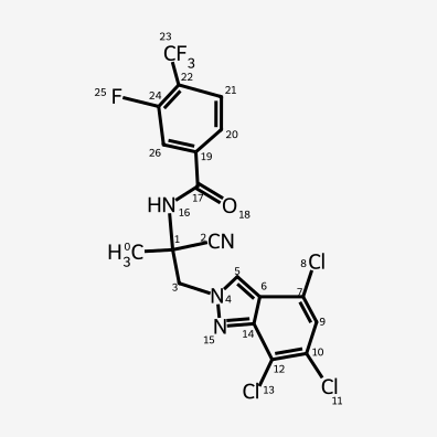 CC(C#N)(Cn1cc2c(Cl)cc(Cl)c(Cl)c2n1)NC(=O)c1ccc(C(F)(F)F)c(F)c1